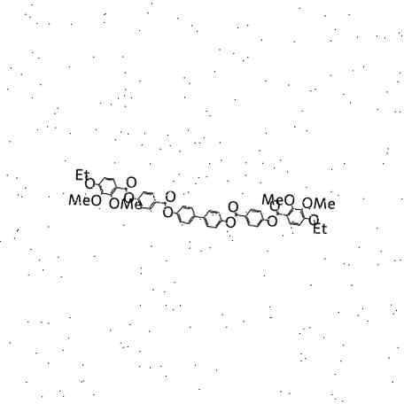 CCOc1ccc(C(=O)Oc2ccc(C(=O)Oc3ccc(-c4ccc(OC(=O)c5ccc(OC(=O)c6ccc(OCC)c(OC)c6OC)cc5)cc4)cc3)cc2)c(OC)c1OC